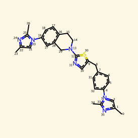 Cc1cn(-c2ccc(Cc3cnc(N4CCc5ccc(-n6cc(C)nc6C)cc5C4)s3)cc2)c(C)n1